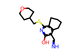 N=Cc1c(O)nc(SCC2CCOCC2)c2c1CCCC2